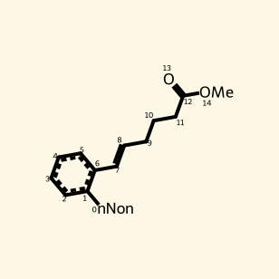 CCCCCCCCCc1ccccc1C=CCCCC(=O)OC